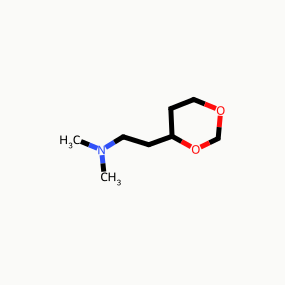 CN(C)CCC1CCOCO1